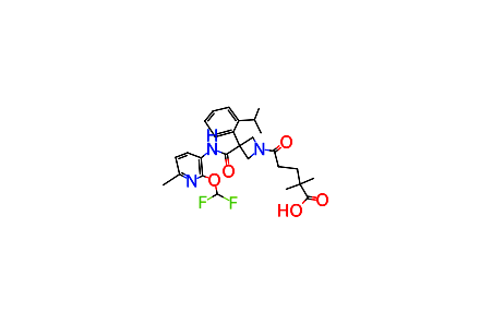 Cc1ccc(NC(=O)C2(c3ccccc3C(C)C)CN(C(=O)CCC(C)(C)C(=O)O)C2)c(OC(F)F)n1